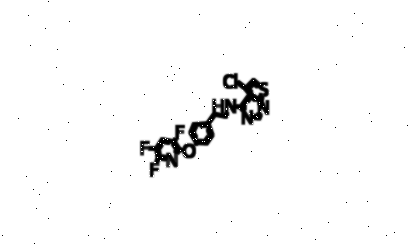 Fc1cc(F)c(Oc2ccc(CCNc3ncnc4scc(Cl)c34)cc2)nc1F